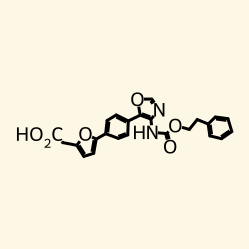 O=C(O)Cc1ccc(-c2ccc(-c3ocnc3NC(=O)OCCc3ccccc3)cc2)o1